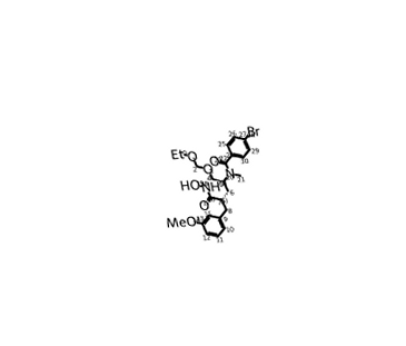 CCOCOC[C@H](C[C@H](Cc1cccc(OC)c1)C(=O)NO)N(C)C(=O)c1ccc(Br)cc1